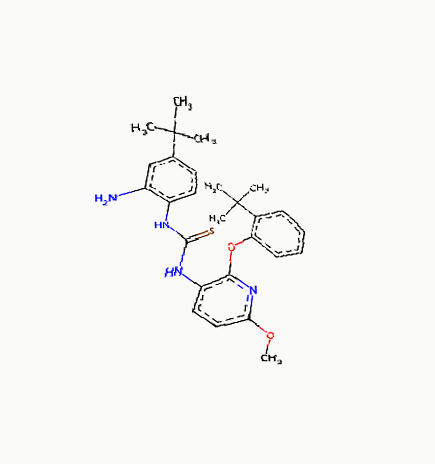 COc1ccc(NC(=S)Nc2ccc(C(C)(C)C)cc2N)c(Oc2ccccc2C(C)(C)C)n1